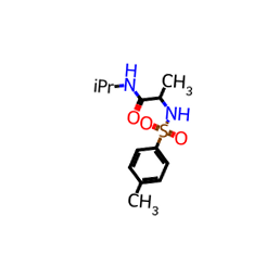 Cc1ccc(S(=O)(=O)NC(C)C(=O)NC(C)C)cc1